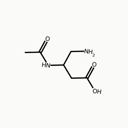 CC(=O)NC(CN)CC(=O)O